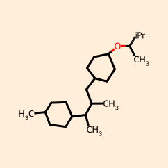 CC1CCC(C(C)C(C)CC2CCC(OC(C)C(C)C)CC2)CC1